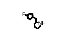 Fc1ccc(C=C2CCCCN2)cc1